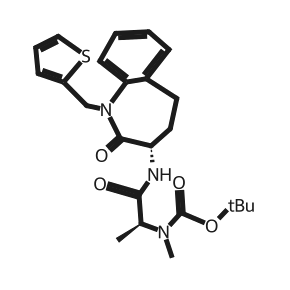 C[C@@H](C(=O)N[C@H]1CCc2ccccc2N(Cc2cccs2)C1=O)N(C)C(=O)OC(C)(C)C